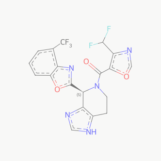 O=C(c1ocnc1C(F)F)N1CCc2[nH]cnc2[C@H]1c1nc2c(C(F)(F)F)cccc2o1